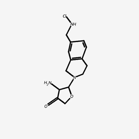 NC1C(=O)COC1N1CCc2ccc(CNCl)cc2C1